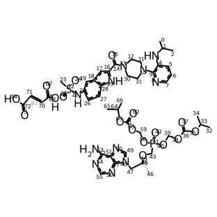 CC(C)Nc1cccnc1N1CCN(C(=O)c2cc3cc(NS(C)(=O)=O)ccc3[nH]2)CC1.CC(C)OC(=O)OCOP(=O)(CO[C@H](C)Cn1cnc2c(N)ncnc21)OCOC(=O)OC(C)C.O=C(O)/C=C/C(=O)O